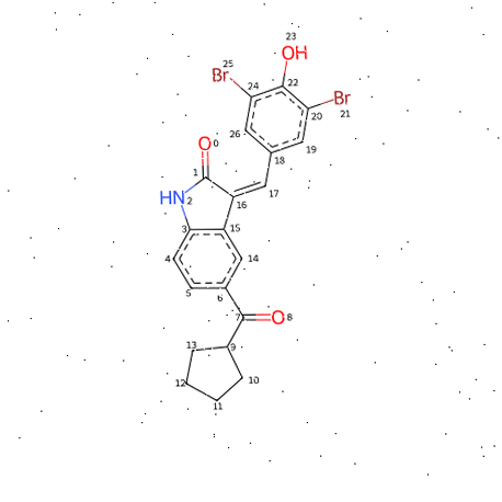 O=C1Nc2ccc(C(=O)C3CCCC3)cc2C1=Cc1cc(Br)c(O)c(Br)c1